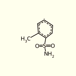 Cc1c[c]ccc1S(N)(=O)=O